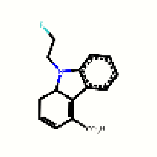 O=C(O)C1=C2c3ccccc3N(CCF)C2CC=C1